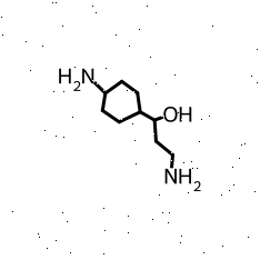 NCCC(O)C1CCC(N)CC1